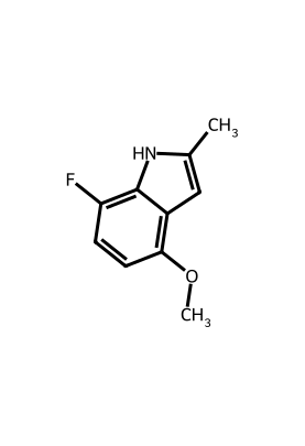 COc1ccc(F)c2[nH]c(C)cc12